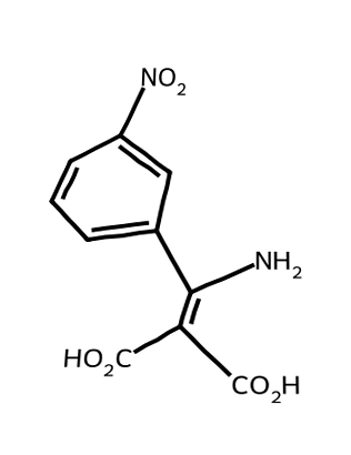 NC(=C(C(=O)O)C(=O)O)c1cccc([N+](=O)[O-])c1